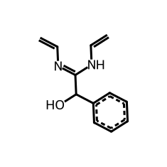 C=C/N=C(\NC=C)C(O)c1ccccc1